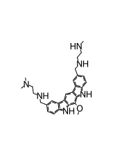 CNCCNCc1ccc2[nH]c3c(OC)c4[nH]c5ccc(CNCCN(C)C)cc5c4cc3c2c1